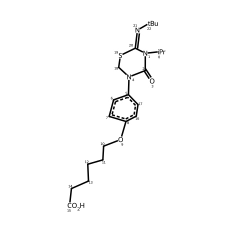 CC(C)N1C(=O)N(c2ccc(OCCCCCC(=O)O)cc2)CSC1=NC(C)(C)C